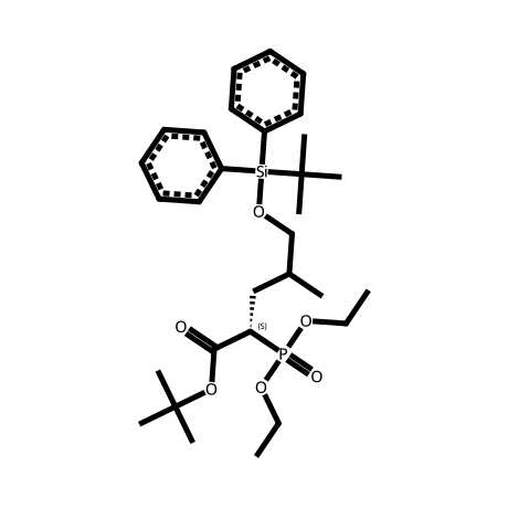 CCOP(=O)(OCC)[C@@H](CC(C)CO[Si](c1ccccc1)(c1ccccc1)C(C)(C)C)C(=O)OC(C)(C)C